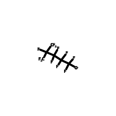 [O]C(F)(F)C(F)(F)C(F)(F)C(F)(C(F)(F)F)C(F)(F)F